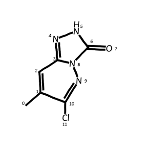 Cc1cc2n[nH]c(=O)n2nc1Cl